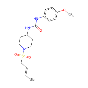 CC(C)(C)C=CCS(=O)(=O)N1CCC(NC(=O)Nc2ccc(OC(F)(F)F)cc2)CC1